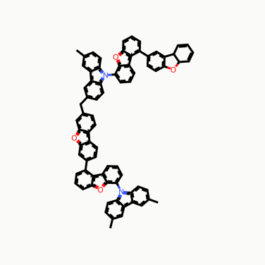 Cc1ccc2c(c1)c1cc(C)ccc1n2-c1cccc2c1oc1cccc(-c3ccc4c(c3)oc3cc(Cc5ccc6c(c5)c5cc(C)ccc5n6-c5cccc6c5oc5cccc(-c7ccc8c(c7)C7C=CC=CC7O8)c56)ccc34)c12